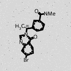 CNC(=O)c1cccc([C@@H](C)n2cnc3cc(Br)ccc3c2=O)c1